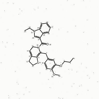 CCCOc1cc(CC2=C3SCCC3=CCN2C(=O)c2cn(CC)c3ccccc23)ccc1OC